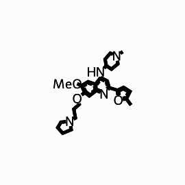 COc1cc2c(NC3CCN(C)CC3)cc(-c3ccc(C)o3)nc2cc1OCCCN1CCCC1